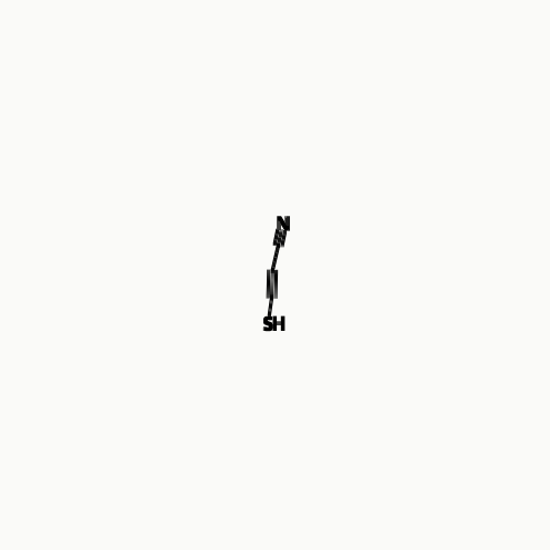 N#CC#CS